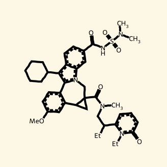 CCC(CN(C)C(=O)C12CC1c1cc(OC)ccc1-c1c(C3CCCCC3)c3ccc(C(=O)NS(=O)(=O)N(C)C)cc3n1C2)c1cccc(=O)n1CC